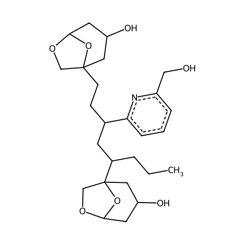 CCCC(CC(CCC12COC(CC(O)C1)O2)c1cccc(CO)n1)C12COC(CC(O)C1)O2